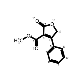 COC(=O)C1=C(c2ccccc2)COC1=O